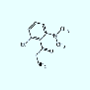 CCc1cccc(N(C)C)c1C(=O)CN